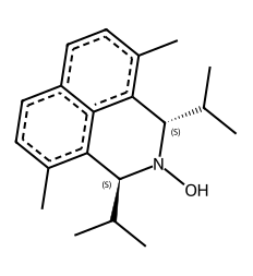 Cc1ccc2ccc(C)c3c2c1[C@H](C(C)C)N(O)[C@H]3C(C)C